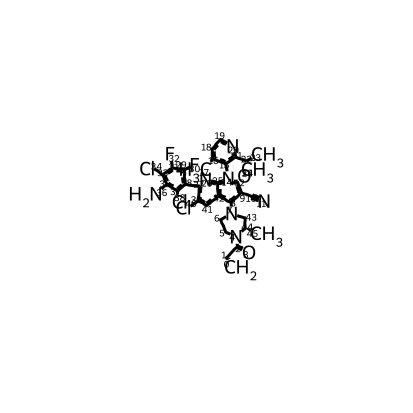 C=CC(=O)N1CCN(c2c(C#N)c(=O)n(-c3c(C)ccnc3C(C)C)c3nc(-c4c(F)c(F)c(Cl)c(N)c4Cl)c(Cl)cc23)C[C@H]1C